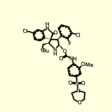 COc1cc(S(=O)(=O)N2CCOCC2)ccc1NC(=O)O[C@H]1N[C@@H](CC(C)(C)C)[C@@]2(C(=O)Nc3cc(Cl)ccc32)[C@H]1c1cccc(Cl)c1F